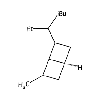 CCC(C)C(CC)C1C[C@H]2CC(C)C12